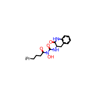 CC(C)CCCC(=O)N(O)C(=O)N[C@@H]1Cc2ccccc2NC1=O